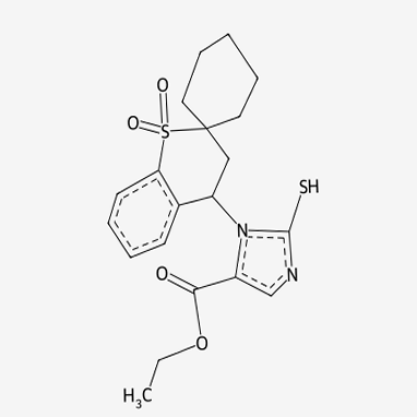 CCOC(=O)c1cnc(S)n1C1CC2(CCCCC2)S(=O)(=O)c2ccccc21